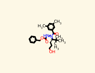 Cc1cc(C)cc(C(=O)N(NC(=O)OCc2ccccc2)[C@H](CCCO)C(C)(C)C)c1